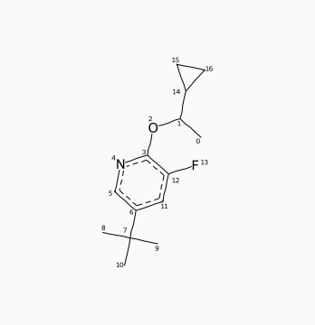 CC(Oc1ncc(C(C)(C)C)cc1F)C1CC1